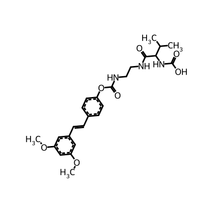 COc1cc(C=Cc2ccc(OC(=O)NCCNC(=O)C(NC(=O)O)C(C)C)cc2)cc(OC)c1